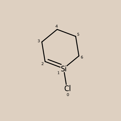 Cl[Si]1=CCCCC1